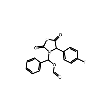 O=COC(c1ccccc1)N1C(=O)OC(=O)C1c1ccc(F)cc1